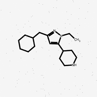 CCn1nc(CC2CCCCC2)cc1C1CCNCC1